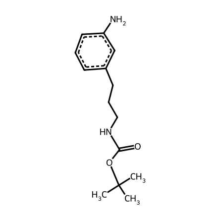 CC(C)(C)OC(=O)NCCCc1cccc(N)c1